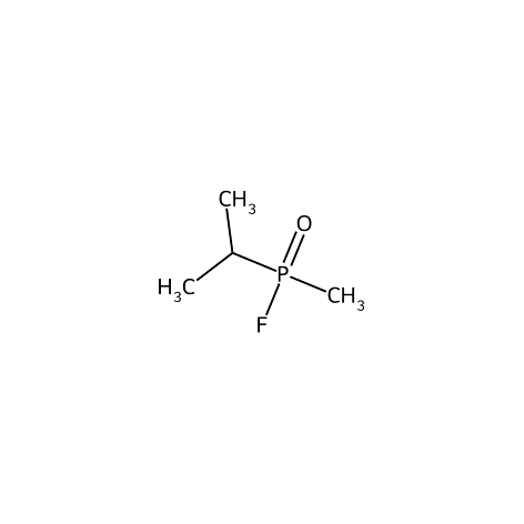 CC(C)P(C)(=O)F